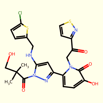 CC(C)(CO)C(=O)n1nc(-c2ccc(O)c(=O)n2CC(=O)c2ccsn2)cc1NCc1ccc(Cl)s1